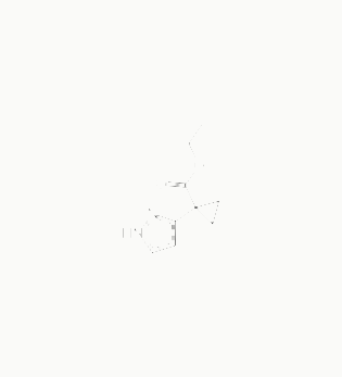 CCOC(=O)C1(c2cc[nH]n2)CC1